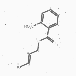 O=C(O)c1ccccc1C(=O)OCC=CO